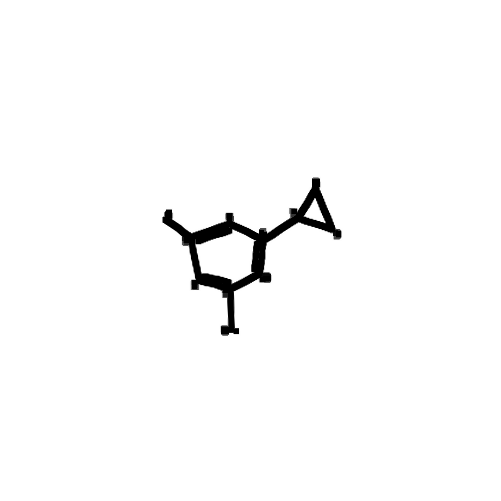 [CH2]c1cc(C)cc(C2CC2)c1